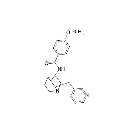 COc1ccc(C(=O)NC2C3CCN(CC3)C2Cc2cccnc2)cc1